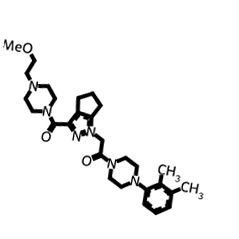 COCCN1CCN(C(=O)c2nn(CC(=O)N3CCN(c4cccc(C)c4C)CC3)c3c2CCC3)CC1